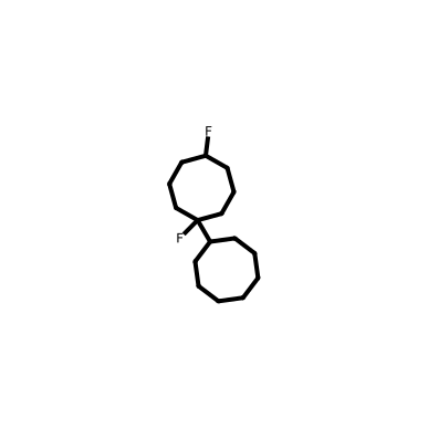 FC1CCCC(F)(C2CCCCCCC2)CCC1